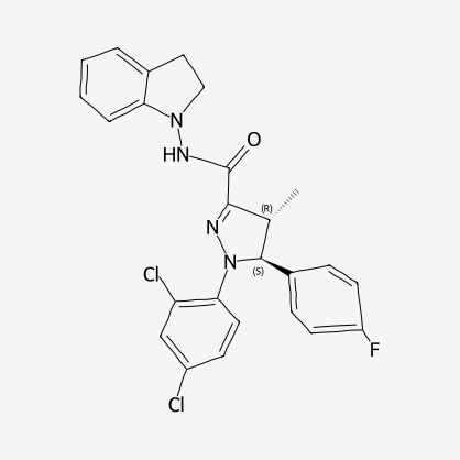 C[C@H]1C(C(=O)NN2CCc3ccccc32)=NN(c2ccc(Cl)cc2Cl)[C@@H]1c1ccc(F)cc1